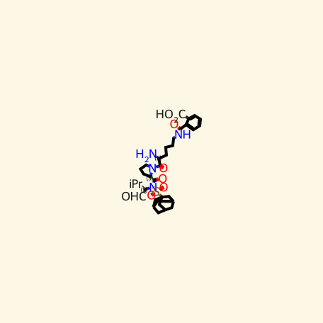 CC(C)[C@@H](C=O)N(C(=O)[C@@H]1CCCN1C(=O)[C@@H](N)CCCCNC(=O)c1ccccc1C(=O)O)S(=O)(=O)C12CC3CC(CC(C3)C1)C2